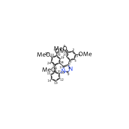 COc1cc(OC)cc(-c2ncn(-c3ccccc3)c2-c2cc(OC)c(OC)cc2OC)c1